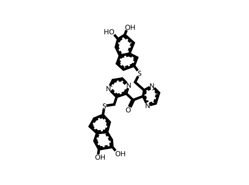 O=C(c1nccnc1CSc1ccc2cc(O)c(O)cc2c1)c1nccnc1CSc1ccc2cc(O)c(O)cc2c1